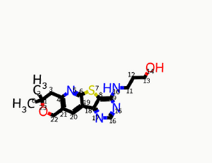 CC1(C)Cc2nc3sc4c(NCCCO)ncnc4c3cc2CO1